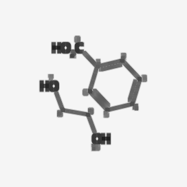 O=C(O)c1ccccc1.OCCO